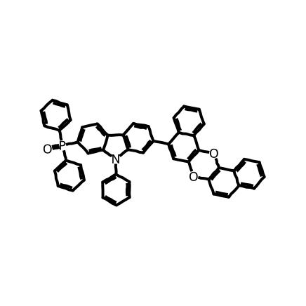 O=P(c1ccccc1)(c1ccccc1)c1ccc2c3ccc(-c4cc5c(c6ccccc46)Oc4c(ccc6ccccc46)O5)cc3n(-c3ccccc3)c2c1